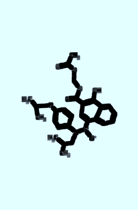 CC(=O)OCOC(=O)c1cc([S+]([O-])N(CC(C)C)c2ccc(OC(C)C)cc2)c2ccccc2c1O